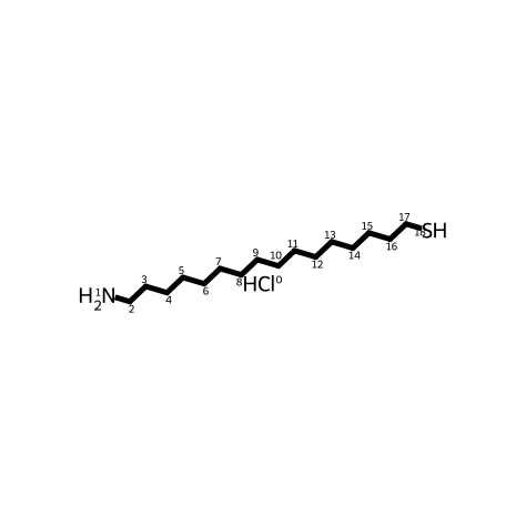 Cl.NCCCCCCCCCCCCCCCCS